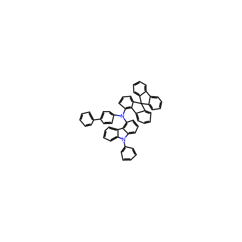 c1ccc(-c2ccc(N(c3cccc4c3-c3ccccc3C43c4ccccc4-c4ccccc43)c3cccc4c3c3ccccc3n4-c3ccccc3)cc2)cc1